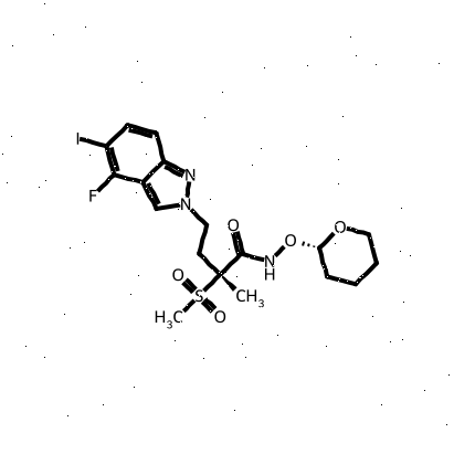 C[C@@](CCn1cc2c(F)c(I)ccc2n1)(C(=O)NO[C@H]1CCCCO1)S(C)(=O)=O